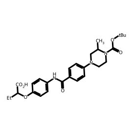 CCC(Oc1ccc(NC(=O)c2ccc(N3CCN(C(=O)OC(C)(C)C)C(C)C3)cc2)cc1)C(=O)O